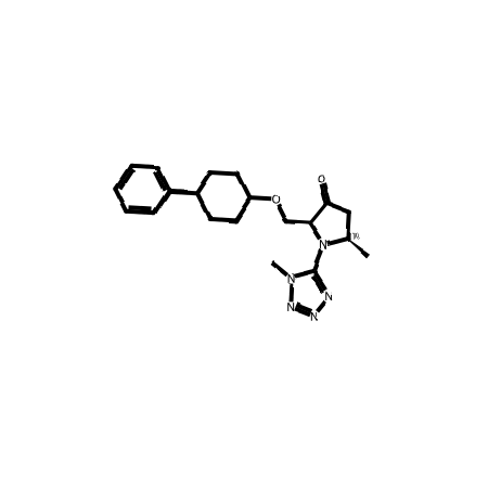 C[C@@H]1CC(=O)C(COC2CCC(c3ccccc3)CC2)N1c1nnnn1C